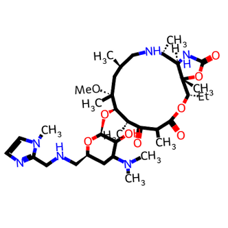 CC[C@@H]1OC(=O)C(C)C(=O)[C@H](C)[C@@H](O[C@@H]2O[C@H](CNCc3nccn3C)CC(N(C)C)C2O)[C@](C)(OC)C[C@@H](C)CN[C@H](C)[C@H]2NC(=O)O[C@]12C